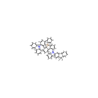 CC1(C)c2ccccc2-c2cc3c(cc21)c1ccccc1n3-c1cccc(S(c2ccccc2)(c2ccccc2)c2cccc(-n3c4ccccc4c4ccccc43)c2)c1